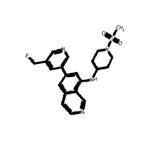 CS(=O)(=O)N1CCC(Nc2cc(-c3cncc(CF)c3)cc3ccncc23)CC1